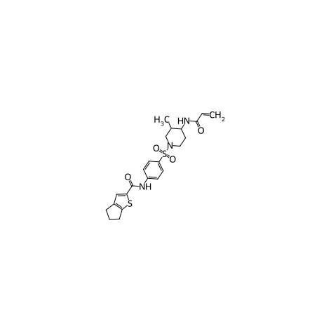 C=CC(=O)NC1CCN(S(=O)(=O)c2ccc(NC(=O)c3cc4c(s3)CCC4)cc2)CC1C